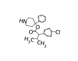 CC(C)C(C(=O)OC1(c2ccccc2)CCNCC1)c1ccc(Cl)cc1